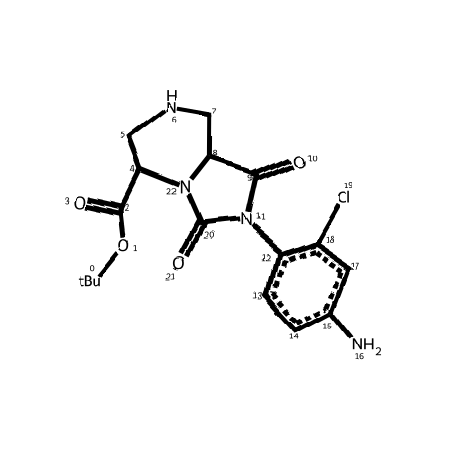 CC(C)(C)OC(=O)C1CNCC2C(=O)N(c3ccc(N)cc3Cl)C(=O)N12